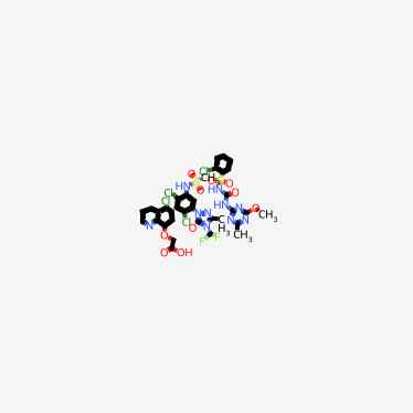 COc1nc(C)nc(NC(=O)NS(=O)(=O)c2ccccc2Cl)n1.Cc1nn(-c2cc(NS(C)(=O)=O)c(Cl)cc2Cl)c(=O)n1C(F)F.O=C(O)COc1ccc(Cl)c2cccnc12